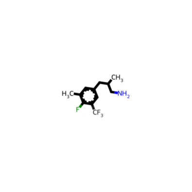 Cc1cc(CC(C)CN)cc(C(F)(F)F)c1F